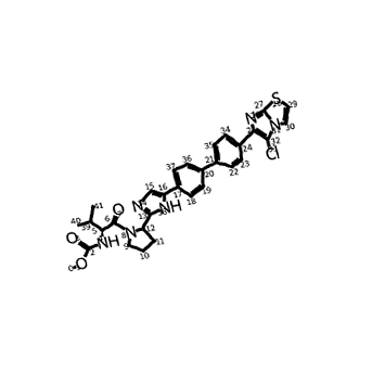 COC(=O)N[C@H](C(=O)N1CCCC1c1ncc(-c2ccc(-c3ccc(-c4nc5sccn5c4Cl)cc3)cc2)[nH]1)C(C)C